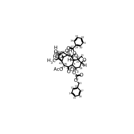 CC(=O)O[C@H]1C(=O)[C@]2(C)[C@@H](OC(=O)OCc3ccccc3)C[C@H]3OC[C@@]3(OC(C)=O)[C@H]2[C@H](OC(=O)c2ccccc2)[C@]2(O)C[C@H](O)C(C)=C1C2(C)C